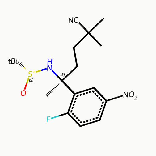 CC(C)(C#N)CC[C@](C)(N[S@+]([O-])C(C)(C)C)c1cc([N+](=O)[O-])ccc1F